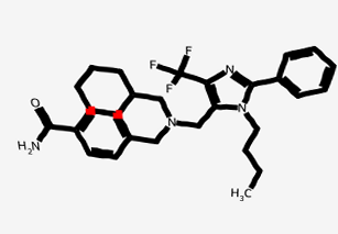 CCCCn1c(-c2ccccc2)nc(C(F)(F)F)c1CN(Cc1ccc(C(N)=O)cc1)CC1CCCCC1